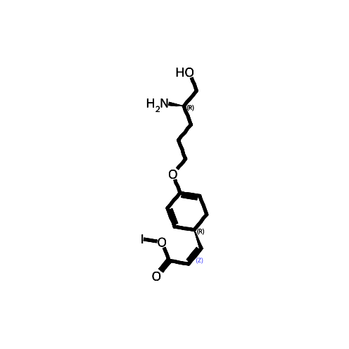 N[C@@H](CO)CCCOC1=CC[C@@H](/C=C\C(=O)OI)C=C1